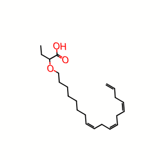 C=CC/C=C\C/C=C\C/C=C\CCCCCCCOC(CC)C(=O)O